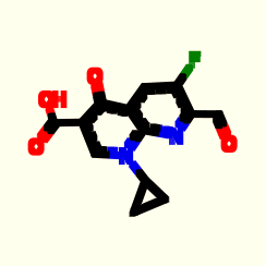 O=Cc1nc2c(cc1F)c(=O)c(C(=O)O)cn2C1CC1